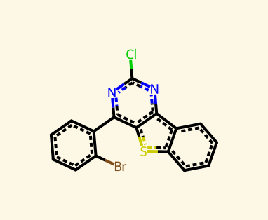 Clc1nc(-c2ccccc2Br)c2sc3ccccc3c2n1